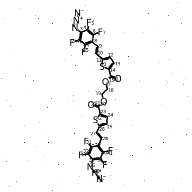 [N-]=[N+]=Nc1c(F)c(F)c(/C=C/c2ccc(C(=O)OCCOC(=O)c3ccc(/C=C/c4c(F)c(F)c(N=[N+]=[N-])c(F)c4F)s3)s2)c(F)c1F